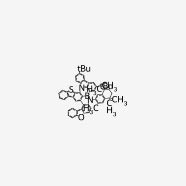 Cc1cc2c(cc1N1B3c4c(cc5c(sc6ccccc65)c4-n4c5ccc(C(C)(C)C)cc5c5cc(C(C)(C)C)cc3c54)-c3c1ccc1oc4ccccc4c31)C(C)(C)CCC2(C)C